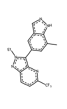 CCn1nc2ccc(C(F)(F)F)nc2c1-c1cc(C)c2[nH]ncc2c1